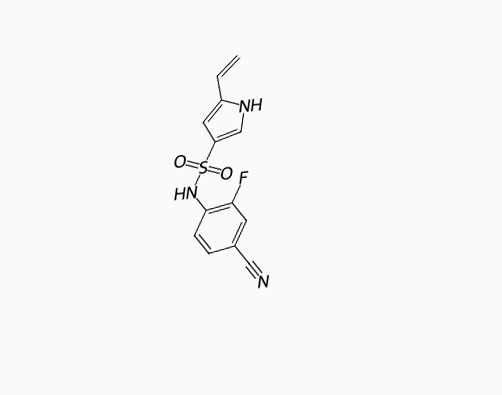 C=Cc1cc(S(=O)(=O)Nc2ccc(C#N)cc2F)c[nH]1